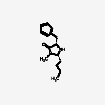 CCCC[C@H]1N[C@@H](Cc2ccccc2)C(=O)N1C